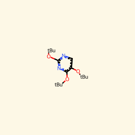 CC(C)(C)Oc1ncc(OC(C)(C)C)c(OC(C)(C)C)n1